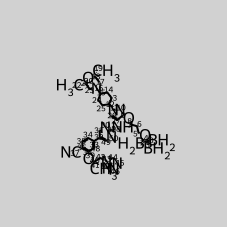 BC(B)(B)OCCCOc1nn([C@H]2CC[C@H](N3C[C@@H](C)O[C@@H](C)C3)CC2)cc1Nc1ncc(-c2ccc(C#N)c(O[C@@H](C)Cn3cnnn3)c2)cn1